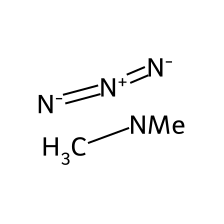 C[NH2+]C.[N-]=[N+]=[N-]